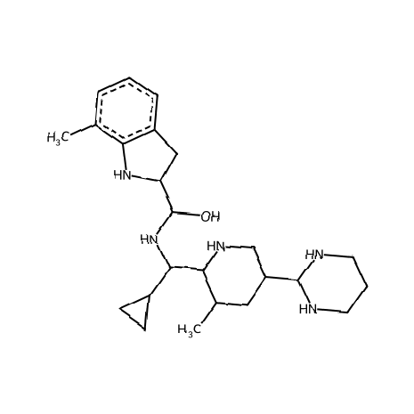 Cc1cccc2c1NC(C(O)NC(C1CC1)C1NCC(C3NCCCN3)CC1C)C2